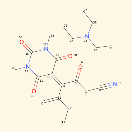 C=C(CC)C(C(=O)CC#N)=C1C(=O)N(C)C(=O)N(C)C1=O.CCN(CC)CC